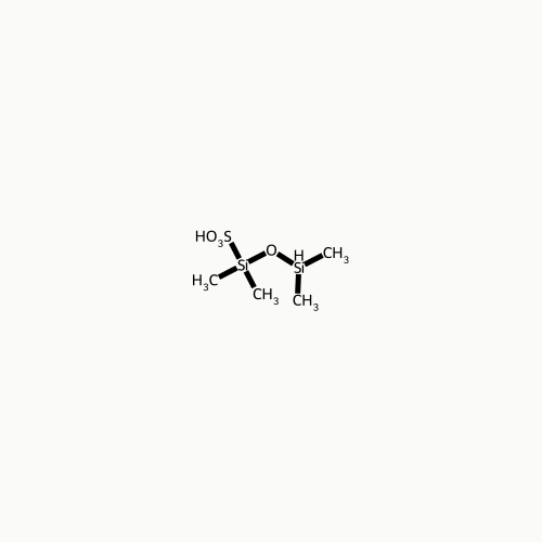 C[SiH](C)O[Si](C)(C)S(=O)(=O)O